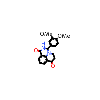 COc1ccc(C2NC(=O)c3cccc4c3N2CCC4=O)cc1OC